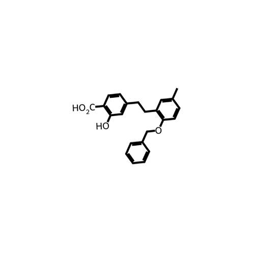 Cc1ccc(OCc2ccccc2)c(CCc2ccc(C(=O)O)c(O)c2)c1